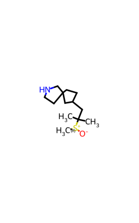 C[S@+]([O-])C(C)(C)CC1CCC2(CCNC2)C1